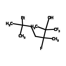 CCC(C)(C)CCC(C)(F)C(C)(O)C(F)(F)F